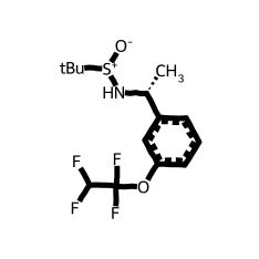 C[C@@H](N[S+]([O-])C(C)(C)C)c1cccc(OC(F)(F)C(F)F)c1